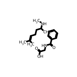 CNC(C)CCC=C(C)C.O=C(O)CNC(=O)c1ccccc1